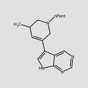 CCCCCN1CC(c2c[nH]c3ncncc23)=CC(C)C1